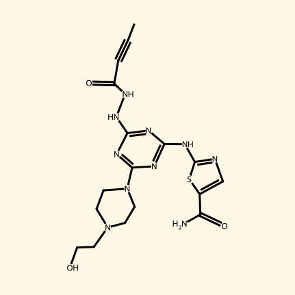 CC#CC(=O)NNc1nc(Nc2ncc(C(N)=O)s2)nc(N2CCN(CCO)CC2)n1